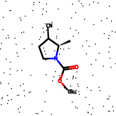 C[C@H]1C(C#N)CCN1C(=O)OC(C)(C)C